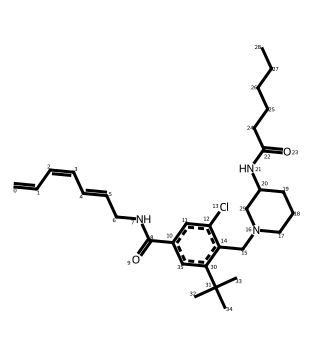 C=C/C=C\C=C\CNC(=O)c1cc(Cl)c(CN2CCCC(NC(=O)CCCCC)C2)c(C(C)(C)C)c1